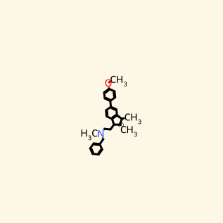 COc1ccc(-c2ccc3c(c2)C(C)[C@@H](C)C3CCN(C)Cc2ccccc2)cc1